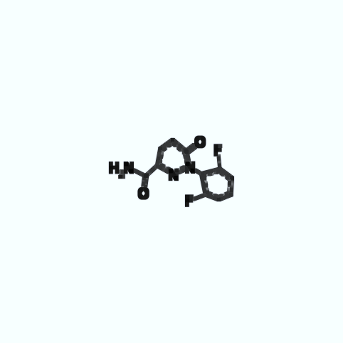 NC(=O)c1ccc(=O)n(-c2c(F)cccc2F)n1